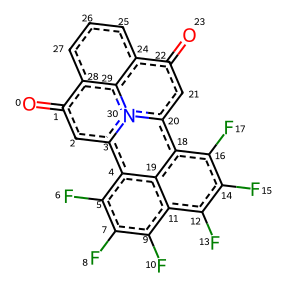 O=c1cc2c3c(F)c(F)c(F)c4c(F)c(F)c(F)c(c43)c3cc(=O)c4cccc1c4n23